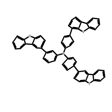 c1cc(-c2ccc3oc4ccccc4c3c2)cc(N(c2ccc(-c3ccc4sc5ccccc5c4c3)cc2)c2ccc(-c3cccc4c3sc3ccccc34)cc2)c1